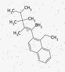 B/C(=C(/C)C(C)(C)C(C)C)c1ccc2ccccc2c1CC